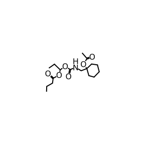 CCCC(=O)OC(CC)OC(=O)NCC1(OC(C)=O)CCCCC1